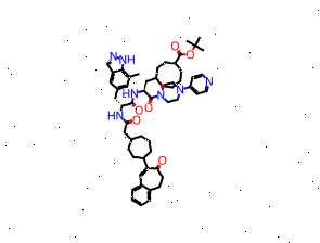 Cc1cc(C[C@@H](NC(=O)CC2CCCC(C3=Cc4ccccc4CCC3=O)CC2)C(=O)N[C@@H](CC2CCCCC(C(=O)OC(C)(C)C)CC2)C(=O)N2CCN(c3ccncc3)CC2)cc2cn[nH]c12